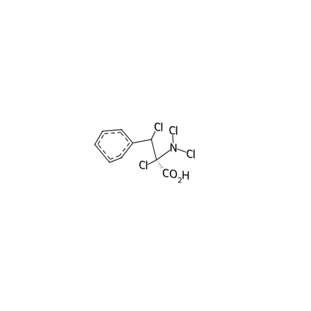 O=C(O)[C@](Cl)(C(Cl)c1ccccc1)N(Cl)Cl